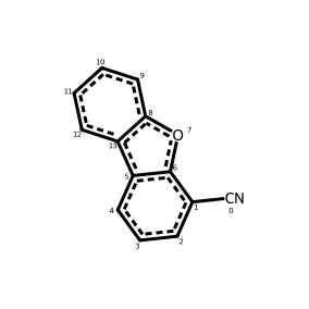 N#Cc1cccc2c1oc1ccccc12